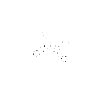 C=C(C(=O)C(CCCCN)NC(=O)C(Cc1ccccc1)NC(=O)N1CCOCC1)S(=O)(=O)c1ccccc1